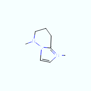 CN1CCCc2n1cc[n+]2C